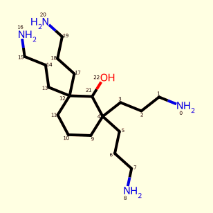 NCCCC1(CCCN)CCCC(CCCN)(CCCN)C1O